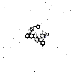 N/C(Cl)=C\N(N)c1ccc(Cl)cc1-c1cc(=O)n(C(Cc2ccccc2)C(=O)Nc2ncn(CC3CCCC3)n2)cn1